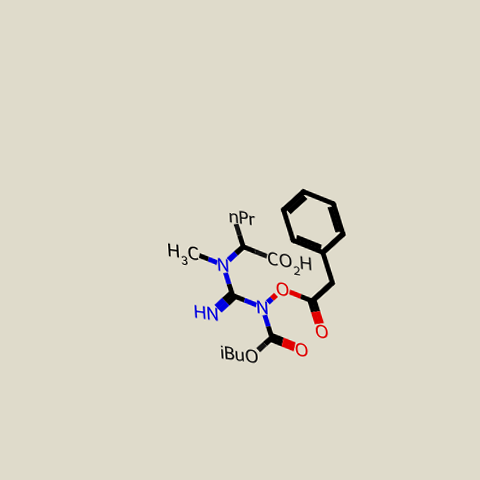 CCCC(C(=O)O)N(C)C(=N)N(OC(=O)Cc1ccccc1)C(=O)OCC(C)C